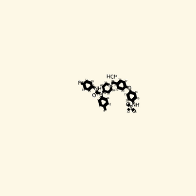 Cc1ccc(N(C(=O)Nc2ccc(F)cc2)C2CCN(Cc3ccc(Oc4ccc(NS(C)(=O)=O)cc4)cc3)CC2)cc1.Cl